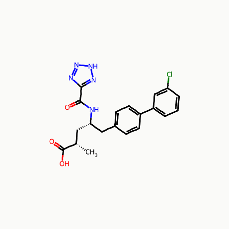 C[C@@H](C[C@@H](Cc1ccc(-c2cccc(Cl)c2)cc1)NC(=O)c1nn[nH]n1)C(=O)O